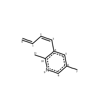 C=C/C=C\c1cc(C)cnc1C